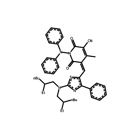 CCCCC(CC)CN(CC(CC)CCCC)c1nc(-c2ccccc2)c(/C=C2\C(=O)N(N(c3ccccc3)c3ccccc3)C(=O)C(C#N)=C2C)s1